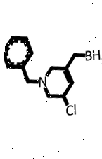 BCC1=CC(Cl)CN(Cc2ccccc2)C1